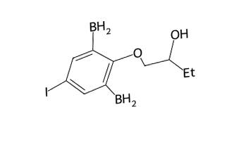 Bc1cc(I)cc(B)c1OCC(O)CC